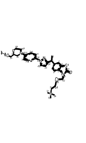 CC(c1ccc2c(c1)sc(=O)n2COCC[Si](C)(C)C)c1ccn(-c2ccc(N3CCOC(CO)C3)cn2)n1